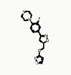 Fc1cc(C2=NOC(COc3ccon3)C2)ccc1N1CCSCC1